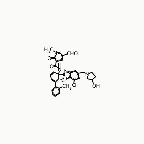 Cc1ccccc1C1=CC=CC(NC(=O)c2cc(C=O)cn(C)c2=O)(c2nc3cc(CN4CCC(O)C4)cc(Cl)c3o2)[C@@H]1Cl